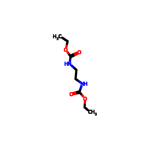 CCOC(=O)NCCNC(=O)OCC